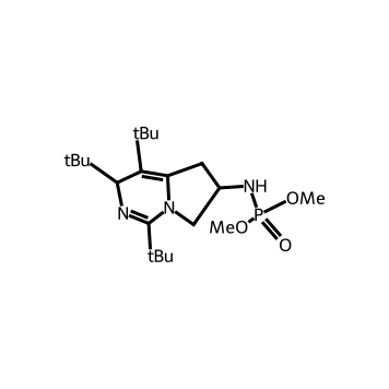 COP(=O)(NC1CC2=C(C(C)(C)C)C(C(C)(C)C)N=C(C(C)(C)C)N2C1)OC